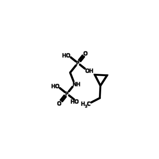 CCC1CC1.O=P(O)(O)CNP(=O)(O)O